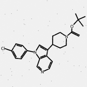 C=C(OC(C)(C)C)N1CCC(c2cn(-c3ccc(Cl)cc3)c3cnccc23)CC1